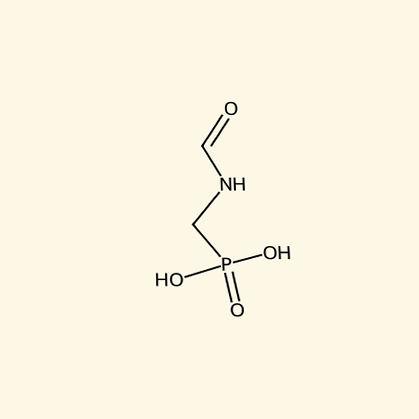 O=CNCP(=O)(O)O